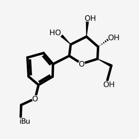 CCC(C)COc1cccc(C2O[C@H](CO)[C@@H](O)[C@H](O)[C@@H]2O)c1